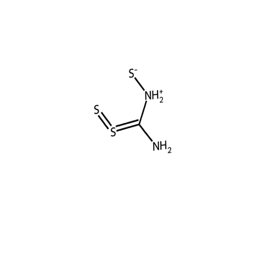 NC([NH2+][S-])=S=S